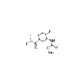 CC(C)(C)OC(=O)Nc1cc(C(=O)C(F)F)ncc1F